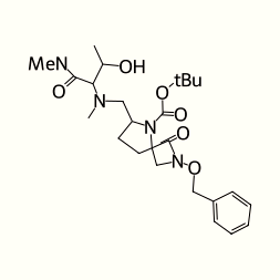 CNC(=O)C(C(C)O)N(C)CC1CCC2(CN(OCc3ccccc3)C2=O)N1C(=O)OC(C)(C)C